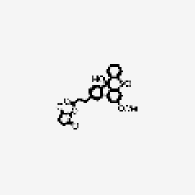 COc1ccc2c(c1)[S+]([O-])c1ccccc1C2(O)c1ccc(CCC(=O)ON2C(=O)CCC2=O)cc1